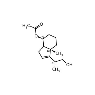 CC(=O)O[C@H]1CCC[C@]2(C)C([C@@H](C)CO)=CCC12